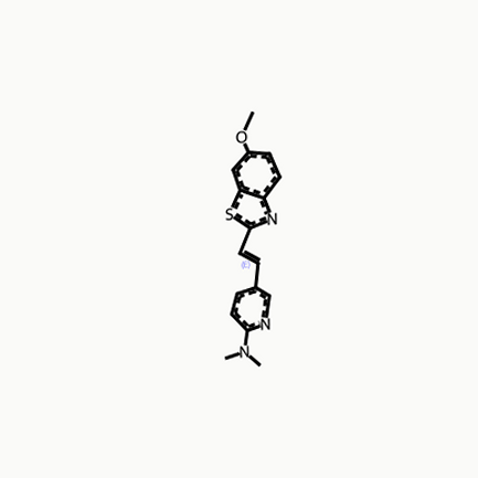 COc1ccc2nc(/C=C/c3ccc(N(C)C)nc3)sc2c1